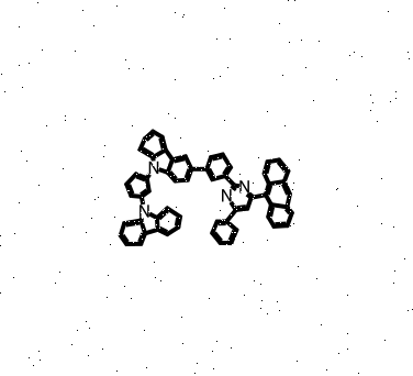 c1ccc(-c2cc(-c3c4ccccc4cc4ccccc34)nc(-c3cccc(-c4ccc5c(c4)c4ccccc4n5-c4cccc(-n5c6ccccc6c6ccccc65)c4)c3)n2)cc1